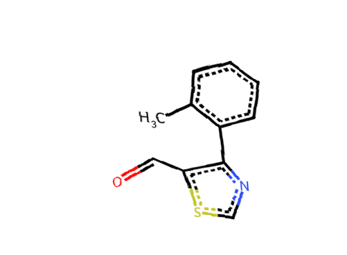 Cc1ccccc1-c1ncsc1C=O